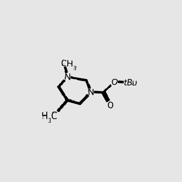 CC1CN(C)CN(C(=O)OC(C)(C)C)C1